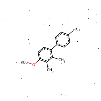 CCCCOc1ccc(-c2ccc(CCCC)cc2)c(C)c1C